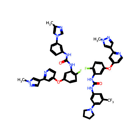 Cc1cn(-c2cccc(NC(=O)Nc3cc(Oc4ccnc(-c5cnn(C)c5)c4)ccc3F)c2)cn1.Cn1cc(-c2cc(Oc3ccc(F)c(NC(=O)Nc4cc(N5CCCC5)cc(C(F)(F)F)c4)c3)ccn2)cn1